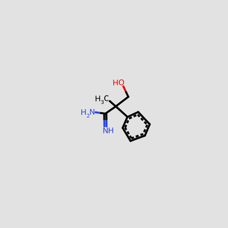 CC(CO)(C(=N)N)c1ccccc1